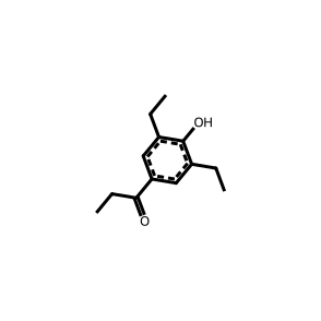 CCC(=O)c1cc(CC)c(O)c(CC)c1